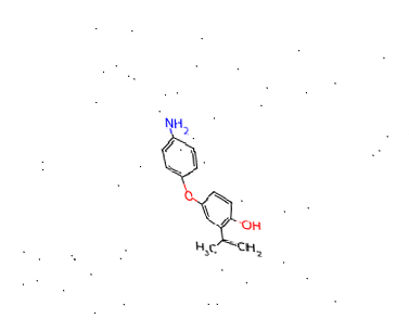 C=C(C)c1cc(Oc2ccc(N)cc2)ccc1O